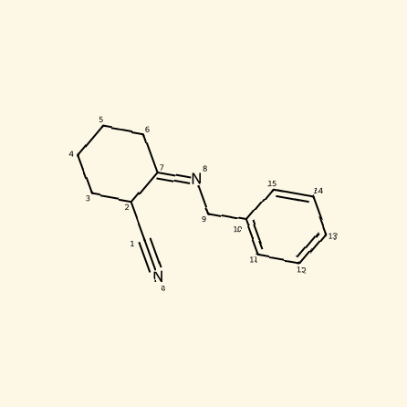 N#CC1CCCC/C1=N/Cc1ccccc1